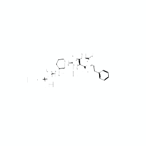 CC(C)(C)OC(=O)NC1CCCN(c2nc3nc(I)n(CCc4ccccc4)c(=O)c3[nH]2)C1